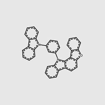 c1cc(-n2c3ccccc3c3ccccc32)cc(-n2c3ccccc3c3ccc4oc5ccccc5c4c32)c1